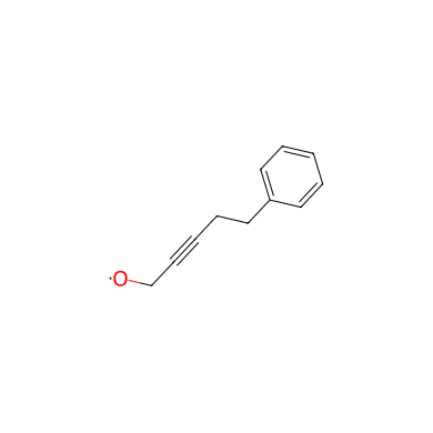 [O]CC#CCCc1ccccc1